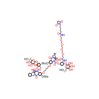 COc1cc2c(cc1OCCCCCOc1cc3c(cc1OC)C(=O)N1CC4(CC4)C[C@H]1[C@H](O)N3C(=O)OCc1ccc(O[C@@H]3O[C@H](C(=O)O)[C@@H](O)[C@H](O)[C@H]3O)c(NC(=O)CCOCCOCCOCCOCCNC(=O)CCCCCN3C(=O)C=CC3=O)c1)N(C(=O)OCc1ccc(O[C@@H]3O[C@H](C(=O)O)[C@@H](O)[C@H](O)[C@H]3O)cc1)[C@@H](O)[C@@H]1Cc3ccccc3CN1C2=O